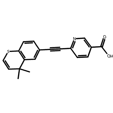 CC1(C)C=CSc2ccc(C#Cc3ccc(C(=O)O)cn3)cc21